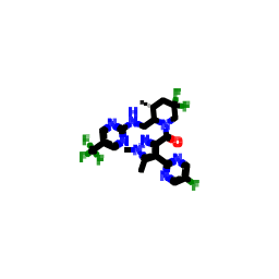 Cc1c(-c2ncc(F)cn2)c(C(=O)N2CC(F)(F)C[C@@H](C)C2CNc2ncc(C(F)(F)F)cn2)nn1C